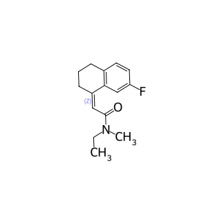 CCN(C)C(=O)/C=C1/CCCc2ccc(F)cc21